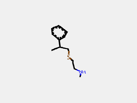 CNCCSCC(C)c1ccccc1